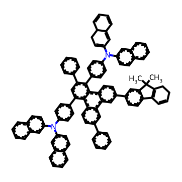 CC1(C)C2=C(C=CCC2)c2ccc(-c3ccc4c(c3)c3cc(-c5ccccc5)ccc3c3c(-c5ccc(N(c6ccc7ccccc7c6)c6ccc7ccccc7c6)cc5)cc(-c5ccccc5)c(-c5ccc(N(C6=CCC7C=CC=CC7=C6)c6ccc7ccccc7c6)cc5)c43)cc21